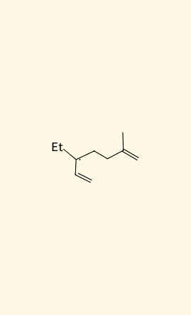 C=C[C](CC)CCC(=C)C